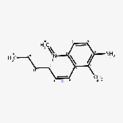 C=Nc1ccc(N)c(C)c1/C=C\CCCC